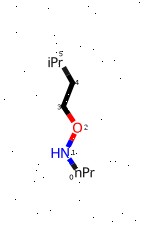 CCCNOCCC(C)C